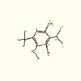 COc1c(C(C)(C)C)cc(N)c(C(F)F)c1Br